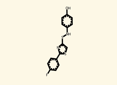 Oc1ccc(NSc2csc(-c3ccc(F)cc3)n2)cc1